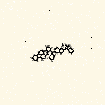 CCc1nc2ccccc2n1-c1ccc2cc(-c3c4ccccc4c(-c4ccc5c6c(cccc46)-c4ccccc4-5)c4ccccc34)ccc2c1